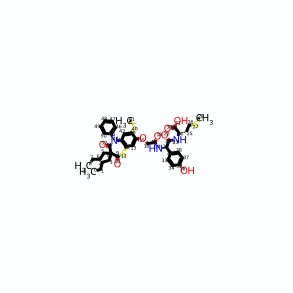 CCCCC1(CCCC)C(=O)Sc2cc(OCC(=O)N[C@@H](C(=O)N[C@@H](CCSC)C(=O)O)c3ccc(O)cc3)c(SC)cc2N(c2ccccc2)C1=O